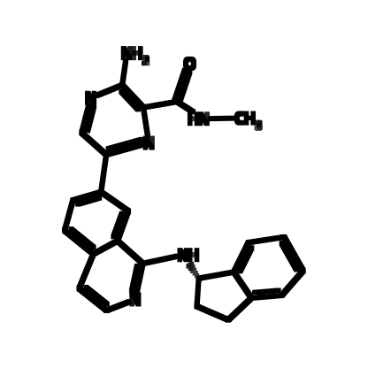 CNC(=O)c1nc(-c2ccc3ccnc(N[C@H]4CCc5ccccc54)c3c2)cnc1N